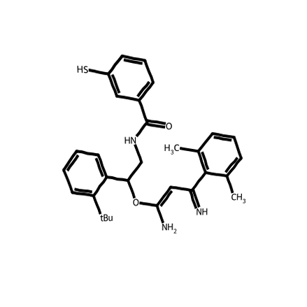 Cc1cccc(C)c1C(=N)/C=C(\N)OC(CNC(=O)c1cccc(S)c1)c1ccccc1C(C)(C)C